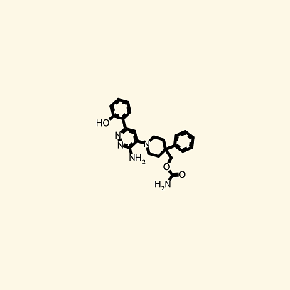 NC(=O)OCC1(c2ccccc2)CCN(c2cc(-c3ccccc3O)nnc2N)CC1